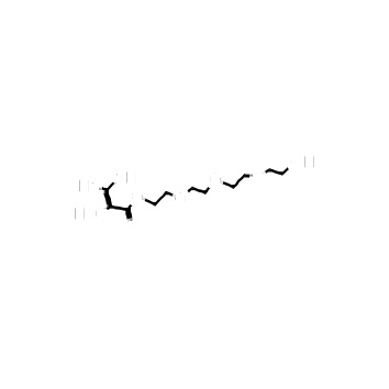 CC(C(=O)OCCOCCOCCOCCO)=C(S)S